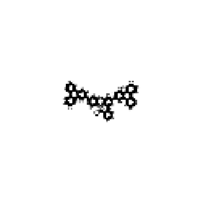 O=c1c2ccccc2c2cc(-c3ccc4c5ccccc5c5ccccc5c4c3)cc3c2n1-c1ccc(-c2ccc4c5ccccc5c5ccccc5c4c2)cc1S3